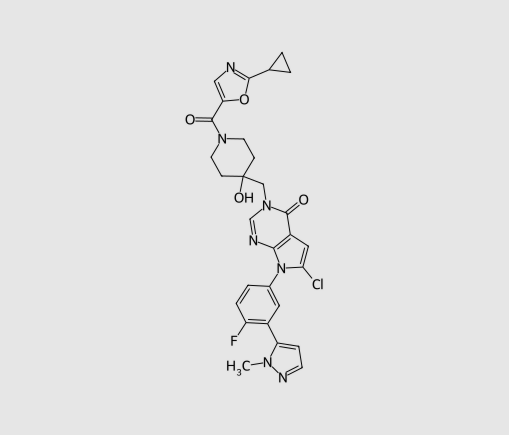 Cn1nccc1-c1cc(-n2c(Cl)cc3c(=O)n(CC4(O)CCN(C(=O)c5cnc(C6CC6)o5)CC4)cnc32)ccc1F